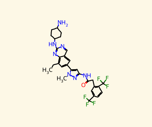 CCc1cc(-c2cc(NC(=O)Cc3cc(C(F)(F)F)ccc3C(F)(F)F)nn2C)cc2cnc(NC3CCC(N)CC3)nc12